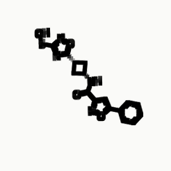 O=C(N[C@H]1C[C@@H](c2nc(SO)no2)C1)c1cc(-c2ccccc2)on1